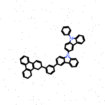 C1=Cc2c(c3c(c4ccccc24)C=CC(c2cccc(-c4ccc5c(c4)c4ccccc4n5-c4ccc5c(c4)c4ccccc4n5-c4ccccc4)c2)C3)CC1